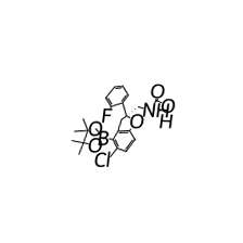 CC1(C)OB(c2c(Cl)ccc3c2C[C@@](CNC(=O)O)(c2ccccc2F)O3)OC1(C)C